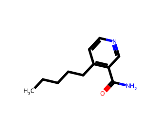 CCCCCc1ccncc1C(N)=O